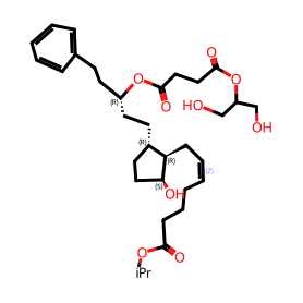 CC(C)OC(=O)CCC/C=C\C[C@@H]1[C@@H](CC[C@H](CCc2ccccc2)OC(=O)CCC(=O)OC(CO)CO)CC[C@@H]1O